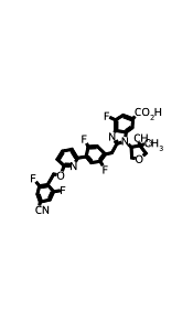 CC1(C)COCC1n1c(Cc2cc(F)c(-c3cccc(OCc4c(F)cc(C#N)cc4F)n3)cc2F)nc2c(F)cc(C(=O)O)cc21